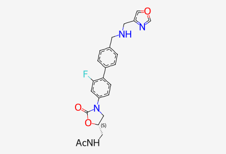 CC(=O)NC[C@H]1CN(c2ccc(-c3ccc(CNCc4cocn4)cc3)c(F)c2)C(=O)O1